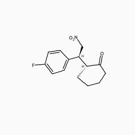 O=C1CCCC[C@@H]1[C@H](C[N+](=O)[O-])c1ccc(F)cc1